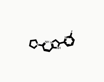 N=C(/C=C\C1=NCC(c2cccc(F)n2)N1)N1CCCC1